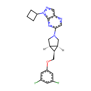 Fc1cc(F)cc(OC[C@H]2[C@H]3CN(c4cnc5cnn(C6CCC6)c5n4)C[C@@H]23)c1